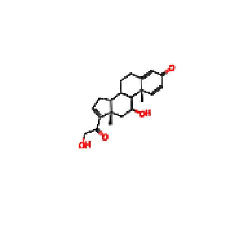 C[C@]12C=CC(=O)C=C1CCC1C2[C@@H](O)C[C@]2(C)C(C(=O)CO)=CCC12